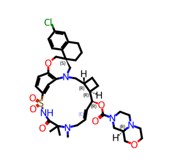 CN1C/C=C/[C@H](OC(=O)N2CCN3CCOC[C@H]3C2)[C@@H]2CC[C@H]2CN2C[C@@]3(CCCc4cc(Cl)ccc43)COc3ccc(cc32)S(=O)(=O)NC(=O)C1(C)C